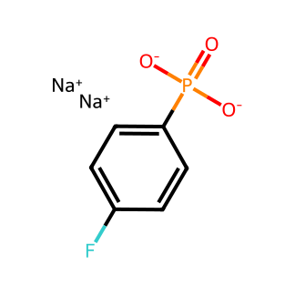 O=P([O-])([O-])c1ccc(F)cc1.[Na+].[Na+]